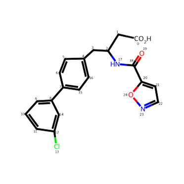 O=C(O)CC(Cc1ccc(-c2cccc(Cl)c2)cc1)NC(=O)c1ccno1